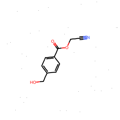 N#CCOC(=O)c1ccc(CO)cc1